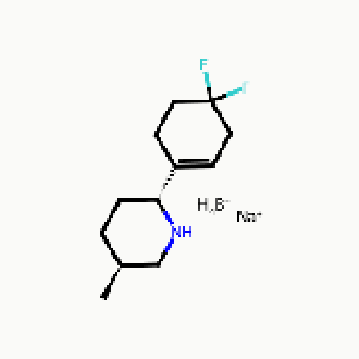 C[C@H]1CC[C@H](C2=CCC(F)(F)CC2)NC1.[BH4-].[Na+]